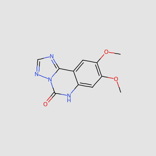 COc1cc2[nH]c(=O)n3ncnc3c2cc1OC